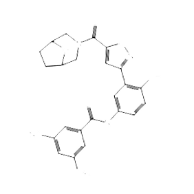 Cc1ccc(NC(=O)c2cc(C#N)cc(C(C)(C)C)c2)cc1-c1cc(C(=O)N2CC3CCC(C2)O3)on1